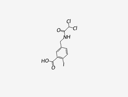 O=C(O)c1cc(CNC(=O)C(Cl)Cl)ccc1I